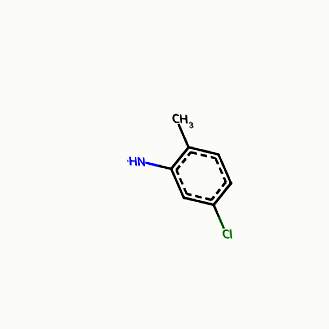 Cc1ccc(Cl)cc1[NH]